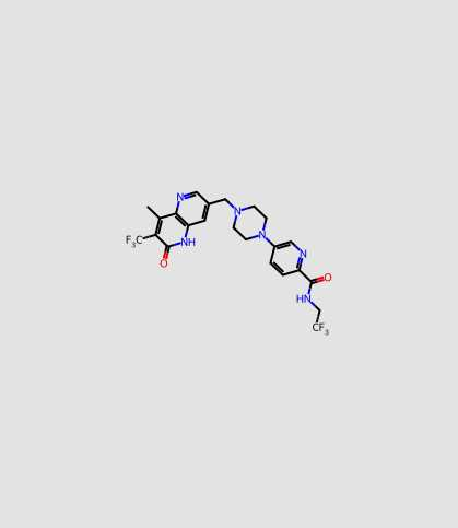 Cc1c(C(F)(F)F)c(=O)[nH]c2cc(CN3CCN(c4ccc(C(=O)NCC(F)(F)F)nc4)CC3)cnc12